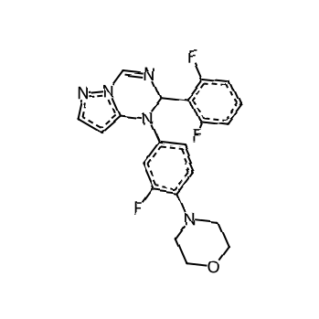 Fc1cc(N2c3ccnn3C=NC2c2c(F)cccc2F)ccc1N1CCOCC1